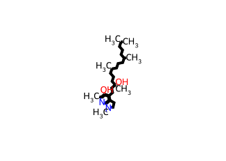 Cc1nc2c(c(CC[C@](C)(O)CCCC(C)CCCC(C)CCCC(C)C)c1O)CCN2C